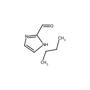 CCCC.O=Cc1ncc[nH]1